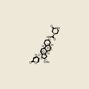 CC(=O)O[C@H]1C[C@]2(O)[C@@H]3CC[C@@H]4C[C@@H](NC(=O)N5CCNC(=O)C5)CC[C@]4(C)[C@H]3CC[C@]2(C)[C@H]1c1ccc(=O)oc1